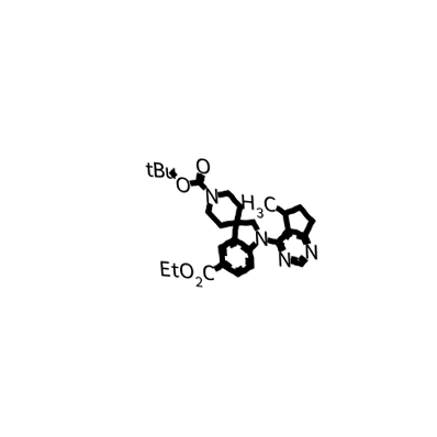 CCOC(=O)c1ccc2c(c1)C1(CCN(C(=O)OC(C)(C)C)CC1)CN2c1ncnc2c1C(C)CC2